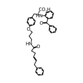 O=C(CCC=CCc1ccccc1)NCCCOc1ccc(C[C@H](Nc2ccccc2C(=O)c2ccccc2)C(=O)O)cc1